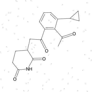 CC(=O)c1c(C(=O)CC2CCC(=O)NC2=O)cccc1C1CC1